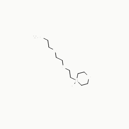 COCCOCCOCC[N+]1(C)CCOCC1